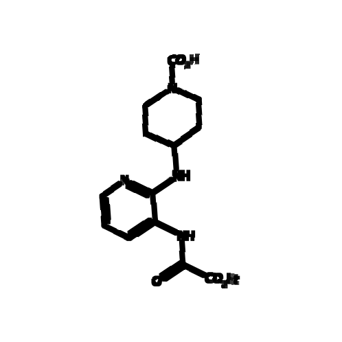 CCOC(=O)C(=O)Nc1cccnc1NC1CCN(C(=O)O)CC1